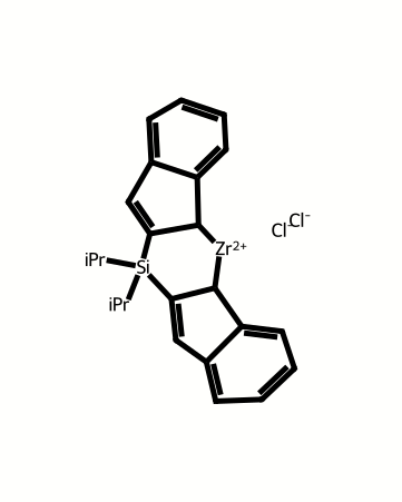 CC(C)[Si]1(C(C)C)C2=Cc3ccccc3[CH]2[Zr+2][CH]2C1=Cc1ccccc12.[Cl-].[Cl-]